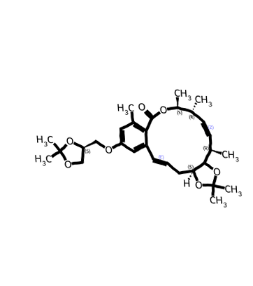 Cc1cc(OC[C@H]2COC(C)(C)O2)cc2c1C(=O)O[C@@H](C)[C@H](C)/C=C\[C@@H](C)C1OC(C)(C)O[C@H]1C/C=C/2